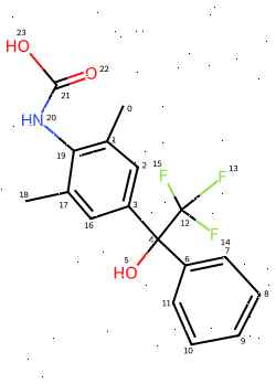 Cc1cc(C(O)(c2ccccc2)C(F)(F)F)cc(C)c1NC(=O)O